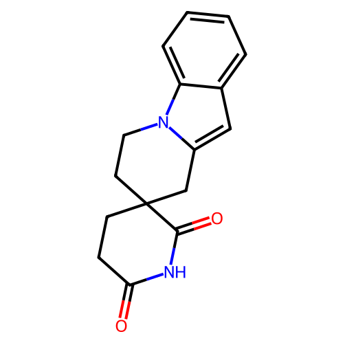 O=C1CCC2(CCn3c(cc4ccccc43)C2)C(=O)N1